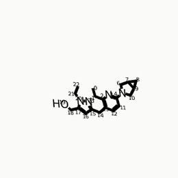 CCc1nc(N2CC3CC3C2)ccc1Cc1cc(CO)n(CC)n1